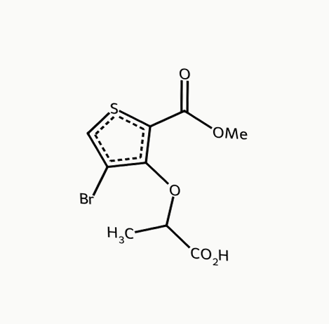 COC(=O)c1scc(Br)c1OC(C)C(=O)O